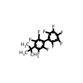 CC(C)(C)c1c(F)c(F)c(-c2c(F)c(F)c(F)c(F)c2F)c(F)c1F